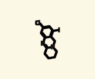 Clc1cc(I)c2c(c1)N=C1CCCCN1C2